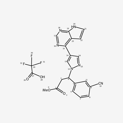 COC(=O)CC(c1cccc(C#N)c1)n1cc(-c2ncnc3[nH]ccc23)cn1.O=C(O)C(F)(F)F